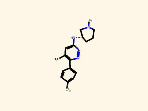 Cc1cc(N[C@H]2CCCN(C(C)C)C2)nnc1-c1ccc(C(F)(F)F)cc1